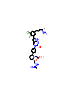 CC(=N)NCC[C@@H]1CCC[C@@H](c2ccc(N3C=c4cc(-c5cc(CCC[C@H](C)N)cc(Cl)c5F)[nH]c4=NC3O)cc2)N1CC(=O)O